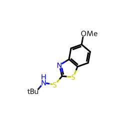 COc1ccc2sc(SNC(C)(C)C)nc2c1